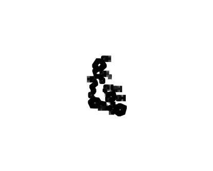 NC(=O)[C@H](Cc1ccc(O)cc1)NCCCOc1cccc(CNc2nc3ccccc3n2[C@@H]2O[C@H](CO)[C@@H](O)[C@H]2O)c1